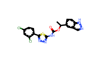 CC(OC(=O)Nc1nnc(-c2ccc(Cl)cc2Cl)s1)c1ccc2[nH]ncc2c1